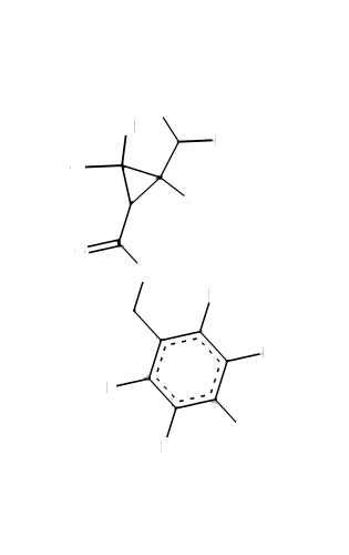 O=C(OCc1c(F)c(F)c(F)c(F)c1F)C1C(Cl)(Cl)C1(Cl)C(F)F